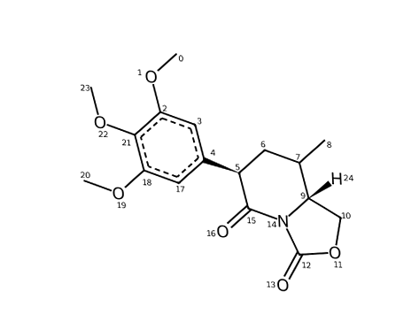 COc1cc([C@H]2CC(C)[C@@H]3COC(=O)N3C2=O)cc(OC)c1OC